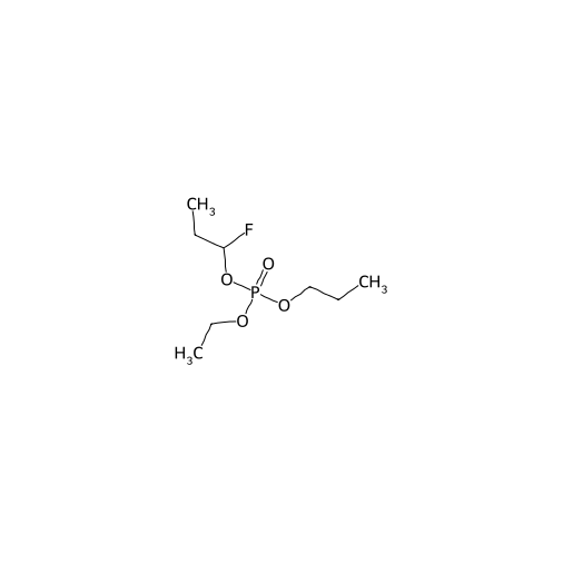 CCCOP(=O)(OCC)OC(F)CC